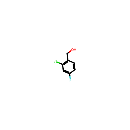 OCc1ccc(F)cc1Cl